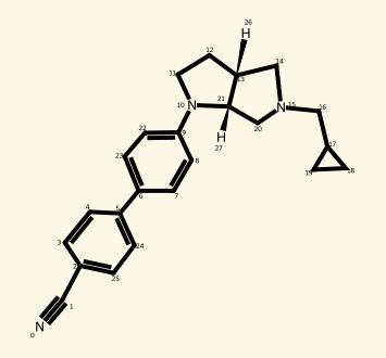 N#Cc1ccc(-c2ccc(N3CC[C@@H]4CN(CC5CC5)C[C@@H]43)cc2)cc1